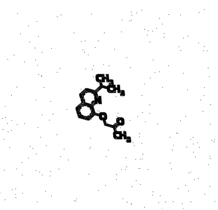 CC(=O)COc1cccc2ccc(C(C)C)nc12